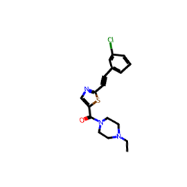 CCN1CCN(C(=O)c2cnc(C#Cc3cccc(Cl)c3)s2)CC1